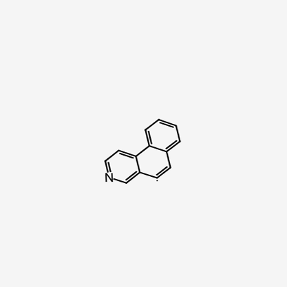 [c]1cc2ccccc2c2ccncc12